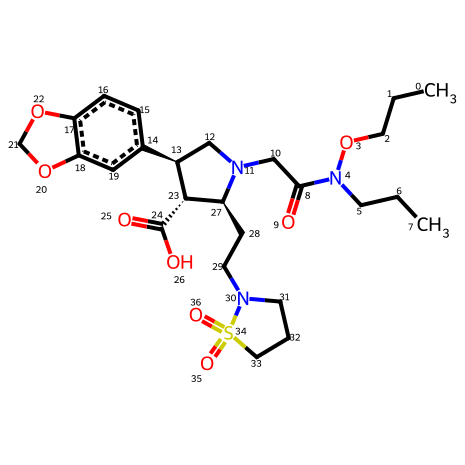 CCCON(CCC)C(=O)CN1C[C@H](c2ccc3c(c2)OCO3)[C@@H](C(=O)O)[C@@H]1CCN1CCCS1(=O)=O